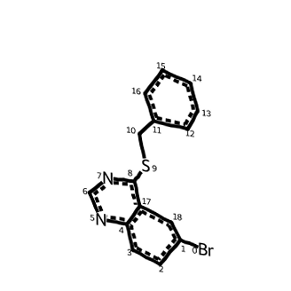 Brc1ccc2ncnc(SCc3ccccc3)c2c1